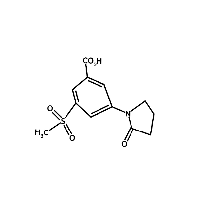 CS(=O)(=O)c1cc(C(=O)O)cc(N2CCCC2=O)c1